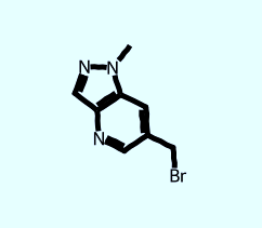 Cn1ncc2ncc(CBr)cc21